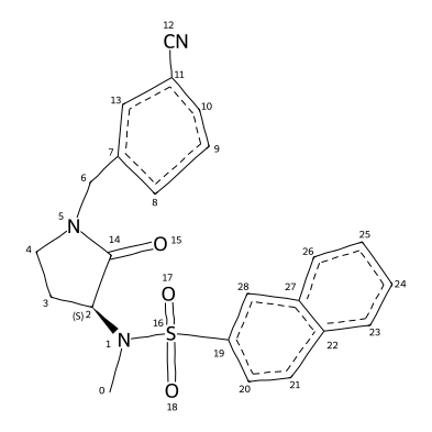 CN([C@H]1CCN(Cc2cccc(C#N)c2)C1=O)S(=O)(=O)c1ccc2ccccc2c1